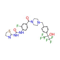 O=C(NC1=NCCS1)Nc1ccc(C(=O)N2CCN(Cc3ccc(C(O)(C(F)(F)F)C(F)(F)F)cc3)CC2)cc1F